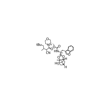 CC(CC(C)(C)C)C(C#N)C(=O)N1CCOC[C@@H]1COC(=O)N[C@@H](Cc1coc2ccccc12)B1O[C@@H]2C[C@@H]3C[C@@H](C3(C)C)[C@]2(C)O1